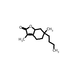 CCCCC1(C)CCC2=C(C)C(=O)OC2C1